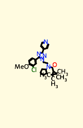 COc1ccc(-c2nc(-c3ccncc3)nn2CCN(C(=O)C2C(C)(C)C2(C)C)C2CCCC2)cc1Cl